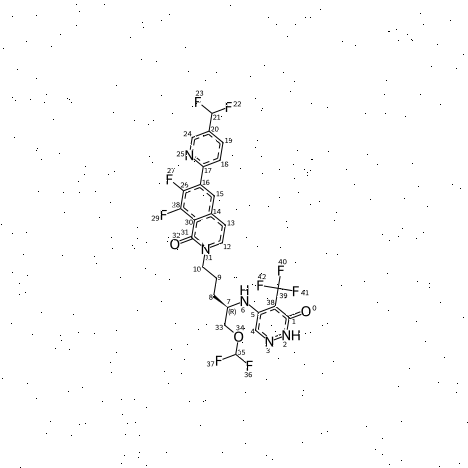 O=c1[nH]ncc(N[C@H](CCCn2ccc3cc(-c4ccc(C(F)F)cn4)c(F)c(F)c3c2=O)COC(F)F)c1C(F)(F)F